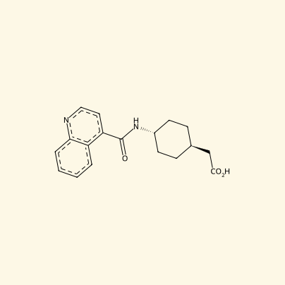 O=C(O)C[C@H]1CC[C@H](NC(=O)c2ccnc3ccccc23)CC1